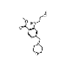 COCCNc1cc(CN2CCOCC2)ccc1C(=O)OC